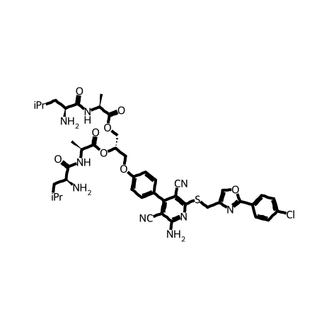 CC(C)C[C@H](N)C(=O)N[C@@H](C)C(=O)OC[C@H](COc1ccc(-c2c(C#N)c(N)nc(SCc3coc(-c4ccc(Cl)cc4)n3)c2C#N)cc1)OC(=O)[C@H](C)NC(=O)[C@@H](N)CC(C)C